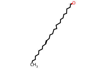 CCCCCCCCC=CCCCCCCCCCCCCC[C]=O